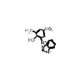 Cc1cc([N+](=O)[O-])cc([N+](=O)[O-])c1O.c1ccc2[nH]cnc2c1